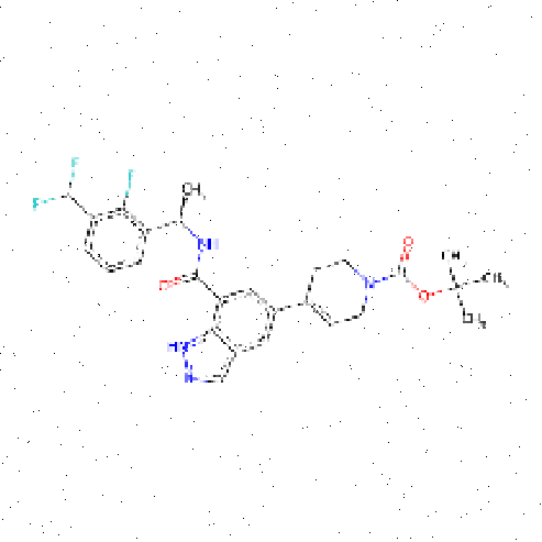 C[C@@H](NC(=O)c1cc(C2=CCN(C(=O)OC(C)(C)C)CC2)cc2cn[nH]c12)c1cccc(C(F)F)c1F